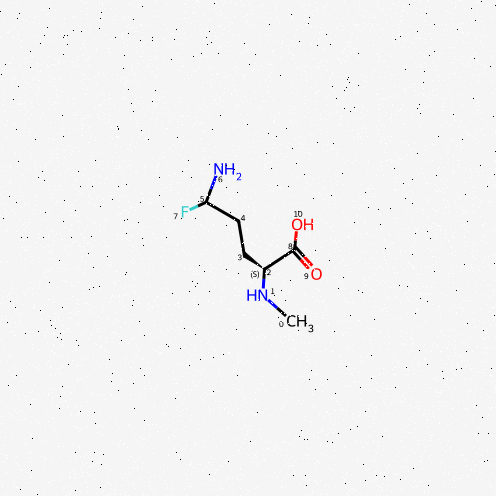 CN[C@@H](CCC(N)F)C(=O)O